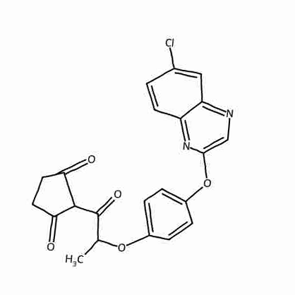 CC(Oc1ccc(Oc2cnc3cc(Cl)ccc3n2)cc1)C(=O)C1C(=O)CCC1=O